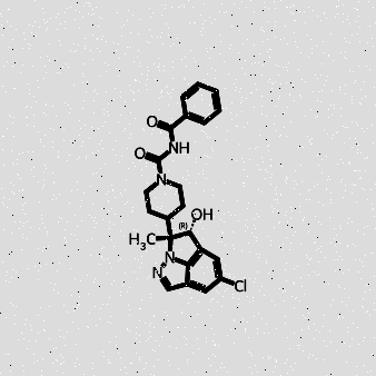 CC1(C2CCN(C(=O)NC(=O)c3ccccc3)CC2)[C@H](O)c2cc(Cl)cc3cnn1c23